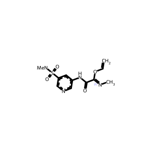 C=CO/C(=N\C)C(=O)Nc1cncc(S(=O)(=O)NC)c1